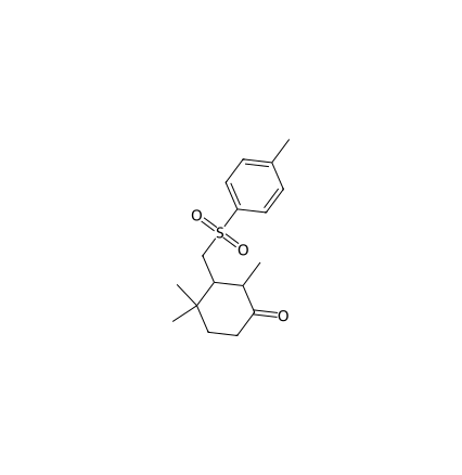 Cc1ccc(S(=O)(=O)CC2C(C)C(=O)CCC2(C)C)cc1